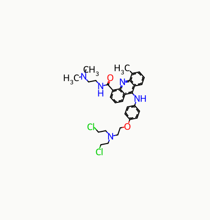 Cc1cccc2c(Nc3ccc(OCCN(CCCl)CCCl)cc3)c3cccc(C(=O)NCCN(C)C)c3nc12